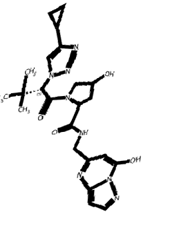 CC(C)(C)[C@@H](C(=O)N1CC(O)CC1C(=O)NCc1cc(O)n2nccc2n1)n1cc(C2CC2)nn1